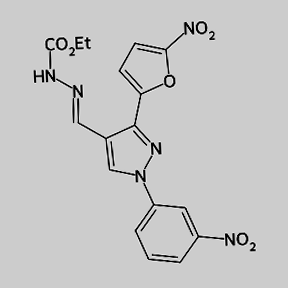 CCOC(=O)N/N=C/c1cn(-c2cccc([N+](=O)[O-])c2)nc1-c1ccc([N+](=O)[O-])o1